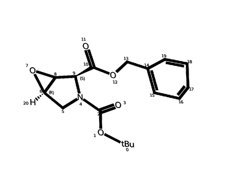 CC(C)(C)OC(=O)N1C[C@H]2OC2[C@H]1C(=O)OCc1ccccc1